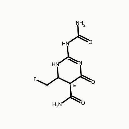 NC(=O)NC1=NC(=O)[C@@H](C(N)=O)C(CF)N1